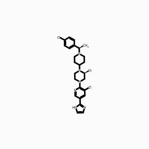 CC[C@H]1CN(c2ncc(-c3ncc[nH]3)cc2Cl)CCN1C1CCN([C@H](C)c2ccc(Cl)cc2)CC1